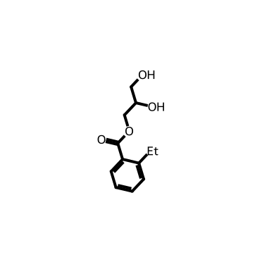 CCc1ccccc1C(=O)OCC(O)CO